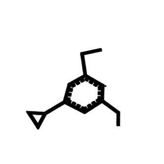 CCc1[c]c(CC)cc(C2CC2)c1